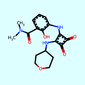 CN(C)C(=O)c1cccc(Nc2c(NC3CCOCC3)c(=O)c2=O)c1O